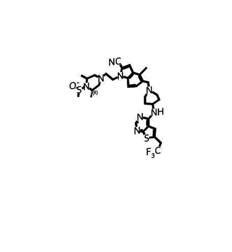 Cc1c(CN2CCC(Nc3ncnc4sc(CC(F)(F)F)cc34)CC2)ccc2c1cc(C#N)n2CCN1CC(C)N([S+](C)[O-])[C@H](C)C1